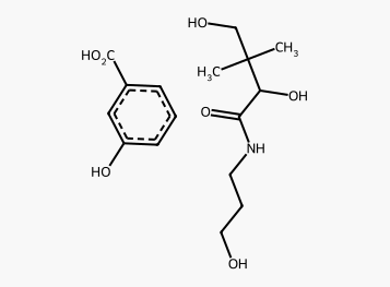 CC(C)(CO)C(O)C(=O)NCCCO.O=C(O)c1cccc(O)c1